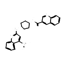 CN(C)c1cc(N[C@H]2CC[C@@H](NC(=O)c3cnc4ccccc4c3)CC2)nc2ccccc12